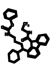 O=C(NCCCC(c1cccc2c1C(C(=O)NCC(F)(F)F)c1ccccc1-2)N1CCCCC1)Oc1ccccc1